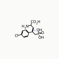 NC(/C=C(/CP(=O)(O)O)c1ccc(Cl)cc1)C(=O)O